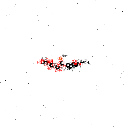 CO[C@@H]1[C@@H](O)[C@H](O[C@@H]2[C@@H](O)[C@H](O[C@H]3[C@H](O)[C@@H](O)[C@H](O[C@H]4[C@H](O[C@H]5CC[C@]6(C)C7=C[C@H](O)C89C(=O)O[C@@](C)(CCCC(C)C)[C@@]8(O)CC[C@@]9(C)[C@@H]7CC[C@H]6C5(C)C)OC[C@@H](OS(=O)(=O)[O-])[C@@H]4O)O[C@@H]3C)O[C@H](CO)[C@H]2O)O[C@H](CO)[C@H]1O.[Na+]